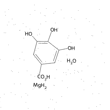 O.O=C(O)c1cc(O)c(O)c(O)c1.[MgH2]